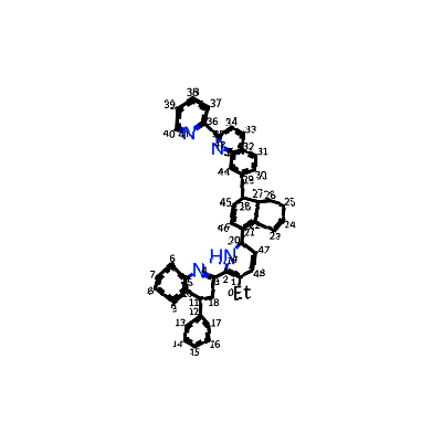 CCC1=C(C2=Nc3ccccc3C(c3ccccc3)C2)NC(C2=C3C=CCCC3C(c3ccc4ccc(-c5ccccn5)nc4c3)C=C2)C=C1